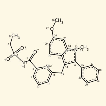 CCS(=O)(=O)NC(=O)c1cccc(Cc2c(-c3ccccc3)n(C)c3cc(OC)ccc23)n1